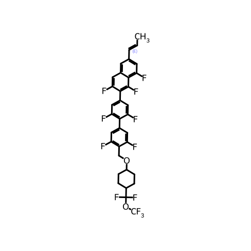 C/C=C/c1cc(F)c2c(F)c(-c3cc(F)c(-c4cc(F)c(COC5CCC(C(F)(F)OC(F)(F)F)CC5)c(F)c4)c(F)c3)c(F)cc2c1